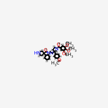 COc1ccc(C2(CCNC(=O)C3(c4ccccc4)CCNCC3)CCN(C(=O)c3cc(OC)c(OC)c(OC)c3)C2)cc1